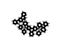 CC1(C)c2ccccc2-c2cc3c4ccccc4n(-c4cccc([Si](c5ccccc5)(c5ccccc5)c5ccc6c7ccc([Si](c8ccccc8)(c8ccccc8)c8cccc9c8sc8ccccc89)cc7c7ccccc7c6c5)c4)c3cc21